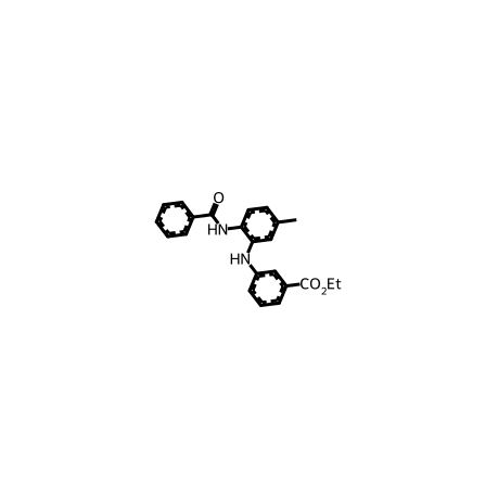 CCOC(=O)c1cccc(Nc2cc(C)ccc2NC(=O)c2ccccc2)c1